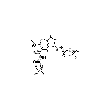 COC(=O)C(CC1CCCC1CNC(=O)OC(C)(C)C)[C@@H](C)NC(=O)OC(C)(C)C